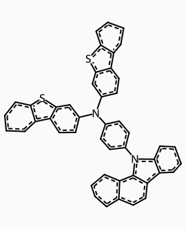 c1ccc2c(c1)ccc1c3ccccc3n(-c3ccc(N(c4ccc5c(c4)sc4ccccc45)c4ccc5c(c4)sc4ccccc45)cc3)c21